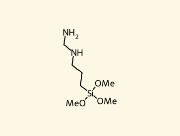 CO[Si](CCCNCN)(OC)OC